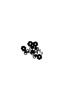 C[C@@]1(OC(=O)c2ccccc2)C(OC(=O)c2ccccc2)O[C@H](COC(=O)c2ccccc2)C1OC(=O)c1ccccc1